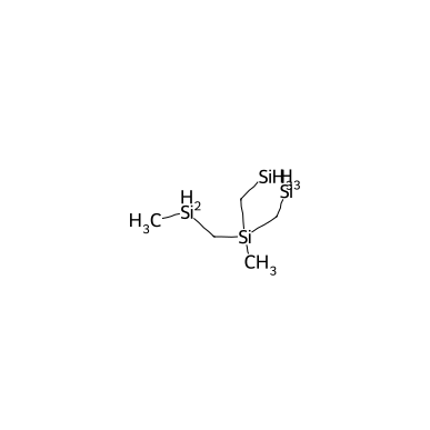 C[SiH2]C[Si](C)(C[SiH3])C[SiH3]